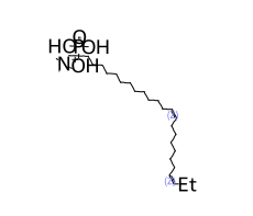 CC/C=C\CCCCCC/C=C\CCCCCCCCCCCCC(O)(C[N+](C)(C)C)P(=O)(O)O